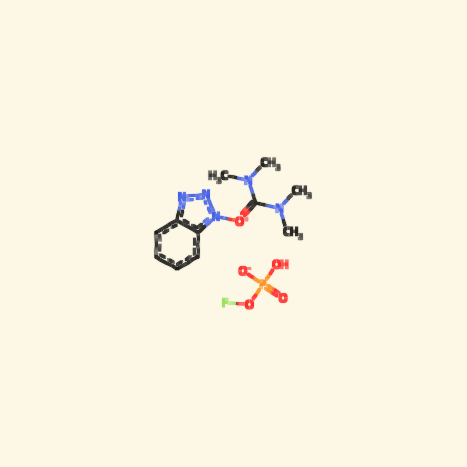 CN(C)C(=[O+]n1nnc2ccccc21)N(C)C.O=P([O-])(O)OF